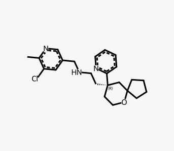 Cc1ncc(CNCC[C@@]2(c3ccccn3)CCOC3(CCCC3)C2)cc1Cl